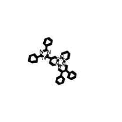 C1=CB2N(C=C1)B1C=C(c3nc(-c4ccccc4)nc(-c4ccccc4)n3)C=CN1B1C=C(c3ccccc3)C(c3ccccc3)=CN21